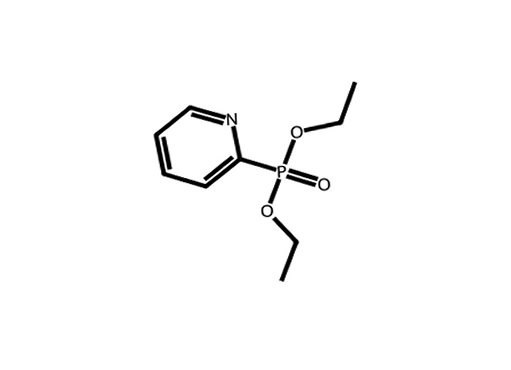 CCOP(=O)(OCC)c1ccccn1